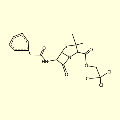 CC1(C)SC2C(NC(=O)Cc3ccccc3)C(=O)N2C1C(=O)OCC(Cl)(Cl)Cl